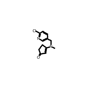 CN(Cc1ccc(Cl)nc1)C1=CC(=O)CC1